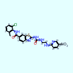 Cc1cccc(Cl)c1NC(=O)c1ccc2nc(NC(=O)NCCNc3ccc([N+](=O)[O-])cn3)sc2c1